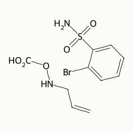 C=CCNOC(=O)O.NS(=O)(=O)c1ccccc1Br